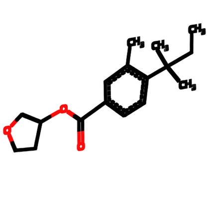 CCC(C)(C)c1ccc(C(=O)OC2CCOC2)cc1C